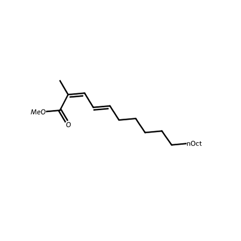 CCCCCCCCCCCCCC=CC=C(C)C(=O)OC